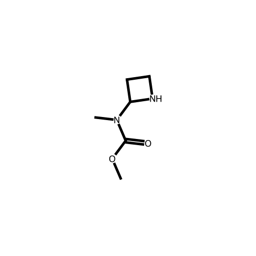 COC(=O)N(C)C1CCN1